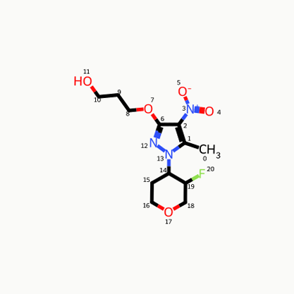 Cc1c([N+](=O)[O-])c(OCCCO)nn1C1CCOCC1F